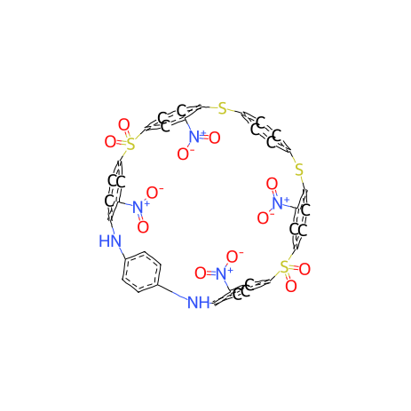 O=[N+]([O-])c1cc2ccc1Nc1ccc(cc1)Nc1ccc(cc1[N+](=O)[O-])S(=O)(=O)c1ccc(c([N+](=O)[O-])c1)Sc1ccc(cc1)Sc1ccc(cc1[N+](=O)[O-])S2(=O)=O